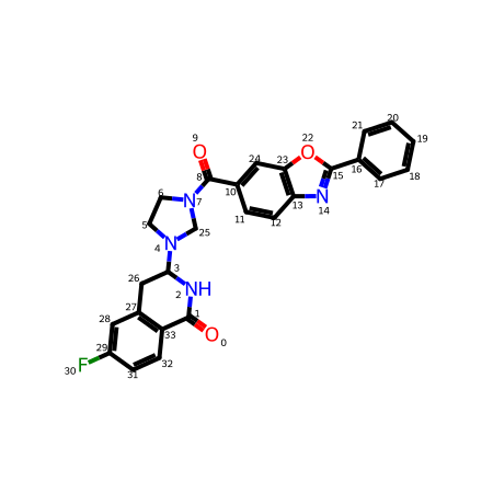 O=C1NC(N2CCN(C(=O)c3ccc4nc(-c5ccccc5)oc4c3)C2)Cc2cc(F)ccc21